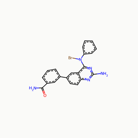 NC(=O)c1cccc(-c2ccc3nc(N)nc(N(Br)c4ccccc4)c3c2)c1